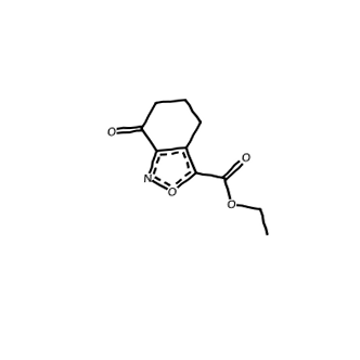 CCOC(=O)c1onc2c1CCCC2=O